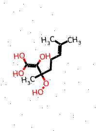 CC(C)=CCCC(C)(OO)C(O)=C(O)O